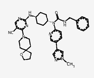 Cn1cc(-c2ccc(N(C(=O)NCc3ccccc3)[C@H]3CC[C@H](Nc4ncc(C#N)c(N5CCC6(CCCO6)CC5)n4)CC3)nc2)cn1